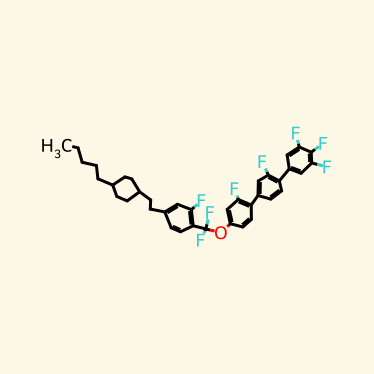 CCCCCC1CCC(CCc2ccc(C(F)(F)Oc3ccc(-c4ccc(-c5cc(F)c(F)c(F)c5)c(F)c4)c(F)c3)c(F)c2)CC1